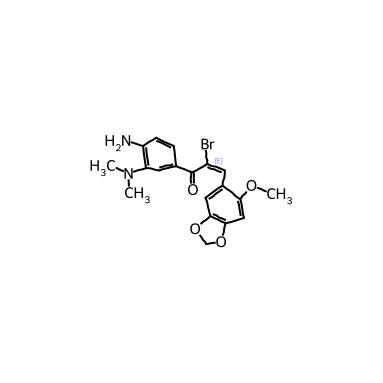 COc1cc2c(cc1/C=C(/Br)C(=O)c1ccc(N)c(N(C)C)c1)OCO2